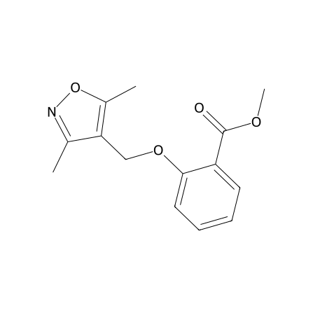 COC(=O)c1ccccc1OCc1c(C)noc1C